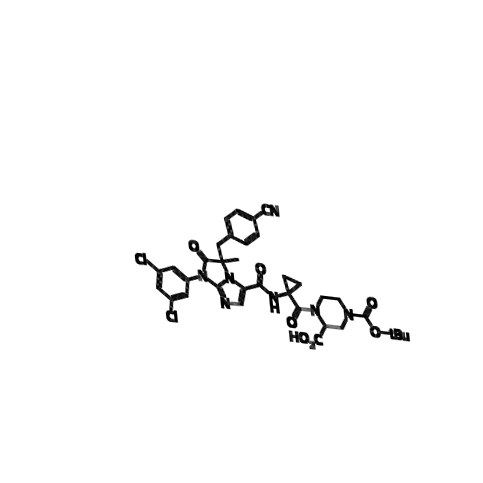 CC(C)(C)OC(=O)N1CCN(C(=O)C2(NC(=O)c3cnc4n3C(C)(Cc3ccc(C#N)cc3)C(=O)N4c3cc(Cl)cc(Cl)c3)CC2)C(C(=O)O)C1